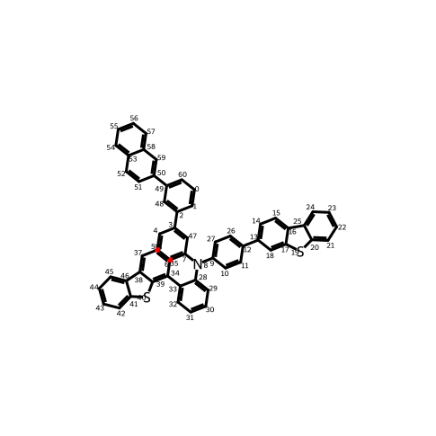 c1cc(-c2cccc(N(c3ccc(-c4ccc5c(c4)sc4ccccc45)cc3)c3ccccc3-c3cccc4c3sc3ccccc34)c2)cc(-c2ccc3ccccc3c2)c1